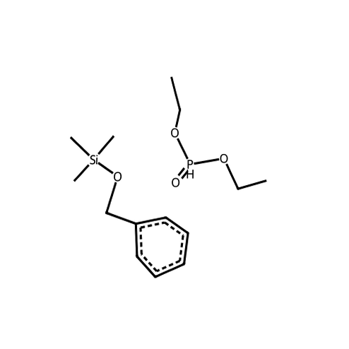 CCO[PH](=O)OCC.C[Si](C)(C)OCc1ccccc1